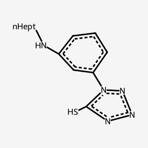 CCCCCCCNc1cccc(-n2nnnc2S)c1